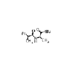 CC(NC(=O)C(C)C(C)C)C(=O)C(C)(C)C